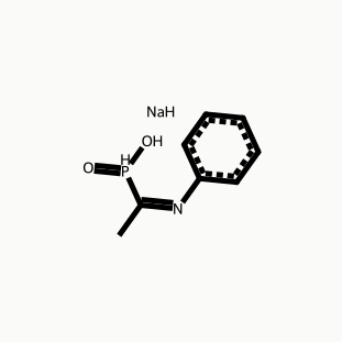 CC(=Nc1ccccc1)[PH](=O)O.[NaH]